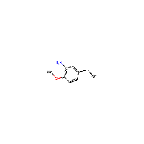 CC(=O)Cc1ccc(OC(C)C)c(N)c1